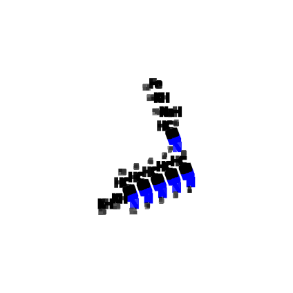 C#N.C#N.C#N.C#N.C#N.C#N.[Fe].[KH].[KH].[KH].[NaH]